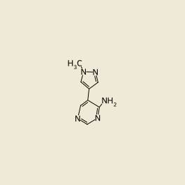 Cn1cc(-c2cncnc2N)cn1